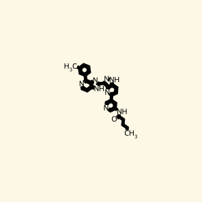 CCCCC(=O)Nc1cncc(-c2ccc3[nH]nc(-c4nc5c(-c6cccc(C)c6)nccc5[nH]4)c3n2)c1